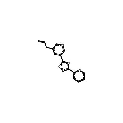 C=CCc1cncc(-c2nc(-c3ccccn3)no2)c1